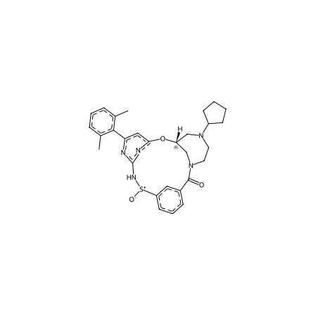 Cc1cccc(C)c1-c1cc2nc(n1)N[S+]([O-])c1cccc(c1)C(=O)N1CCN(C3CCCC3)C[C@H](C1)O2